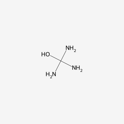 NC(N)(N)O